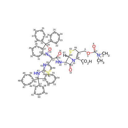 CN(C)C(=O)OCC1=C(C(=O)O)N2C(=O)C(NC(=O)/C(=N\OC(c3ccccc3)(c3ccccc3)c3ccccc3)c3csc(NC(c4ccccc4)(c4ccccc4)c4ccccc4)n3)[C@@H]2SC1